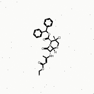 CCOC(=O)/C=C(\C)N[C@@H]1C(=O)N2[C@@H]1SC[C@@](C)(Cl)[C@@H]2C(=O)OC(c1ccccc1)c1ccccc1